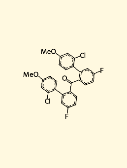 COc1ccc(-c2cc(F)ccc2C(=O)c2ccc(F)cc2-c2ccc(OC)cc2Cl)c(Cl)c1